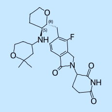 CC1(C)CC(N[C@H]2CCCO[C@@H]2Cc2ccc3c(c2F)CN(C2CCC(=O)NC2=O)C3=O)CCO1